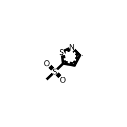 CS(=O)(=O)c1c[c]ns1